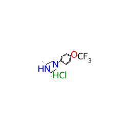 C[C@@H]1CN(c2ccc(OC(F)(F)F)cc2)C[C@H](C)N1.Cl